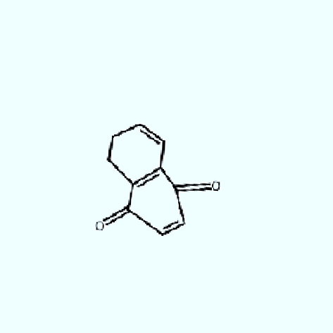 O=C1C=CC(=O)C2=C1C=CCC2